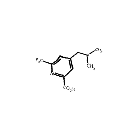 CN(C)Cc1cc(C(=O)O)nc(C(F)(F)F)c1